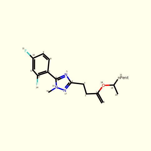 C=C(CCc1nc(-c2ccc(F)cc2F)n(C)n1)OC(C)CCCCC